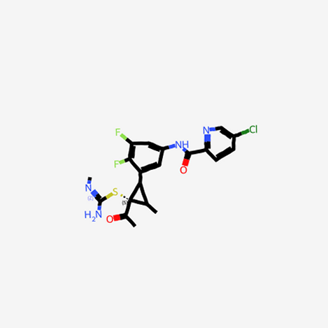 C/N=C(/N)S[C@@]1(C(C)=O)C(C)C1c1cc(NC(=O)c2ccc(Cl)cn2)cc(F)c1F